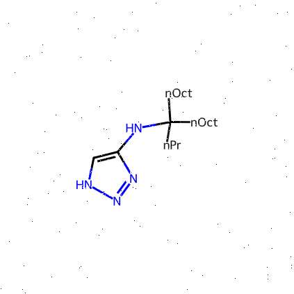 CCCCCCCCC(CCC)(CCCCCCCC)Nc1c[nH]nn1